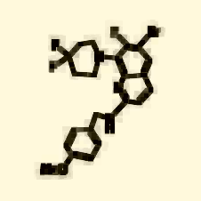 COc1ccc(CNc2ccc3cc(Br)c(F)c(N4CCC(F)(F)CC4)c3n2)cc1